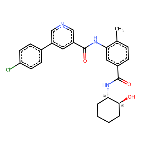 Cc1ccc(C(=O)N[C@H]2CCCC[C@@H]2O)cc1NC(=O)c1cncc(-c2ccc(Cl)cc2)c1